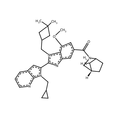 COc1cc(C(=O)N2C[C@H]3CCC2[C@@H]3N)cc2nc(-c3cc4cccnc4n3CC3CC3)n(CC3CC(C)(C)C3)c12